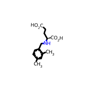 Cc1ccc(CN[C@@H](CCC(=O)O)C(=O)O)c(C)c1